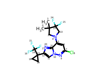 CC1(C)CN(c2cc(Cl)nn3cc(C4(C(F)(F)F)CC4)nc23)CC1(F)F